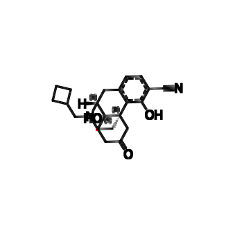 N#Cc1ccc2c(c1O)[C@]13CCN(CC4CCC4)[C@H](C2)[C@]1(O)CCC(=O)C3